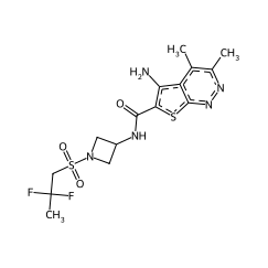 Cc1nnc2sc(C(=O)NC3CN(S(=O)(=O)CC(C)(F)F)C3)c(N)c2c1C